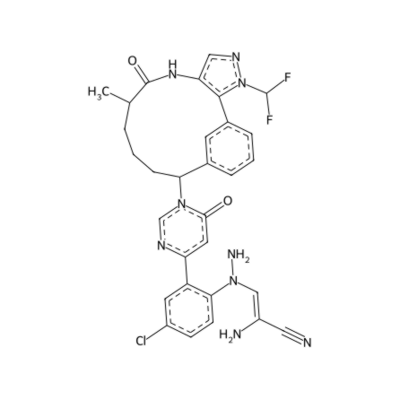 CC1CCCC(n2cnc(-c3cc(Cl)ccc3N(N)/C=C(\N)C#N)cc2=O)c2cccc(c2)-c2c(cnn2C(F)F)NC1=O